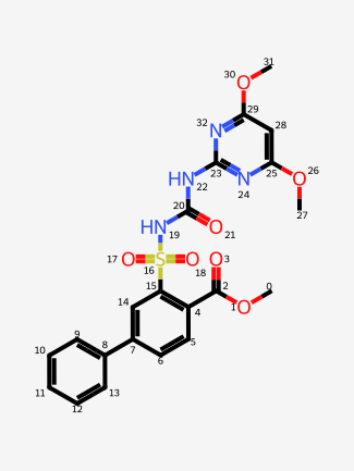 COC(=O)c1ccc(-c2ccccc2)cc1S(=O)(=O)NC(=O)Nc1nc(OC)cc(OC)n1